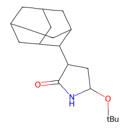 CC(C)(C)OC1CC(C2C3CC4CC(C3)CC2C4)C(=O)N1